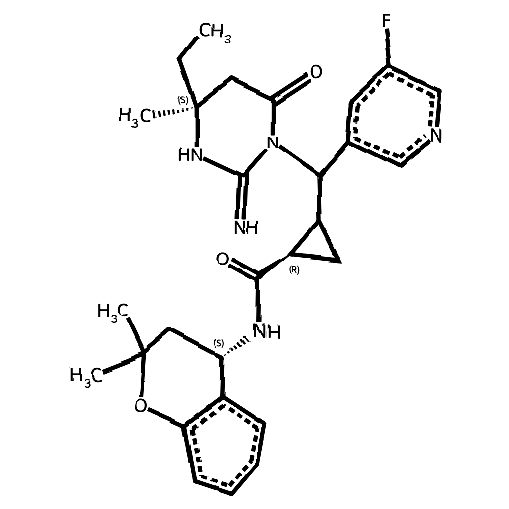 CC[C@@]1(C)CC(=O)N(C(c2cncc(F)c2)C2C[C@H]2C(=O)N[C@H]2CC(C)(C)Oc3ccccc32)C(=N)N1